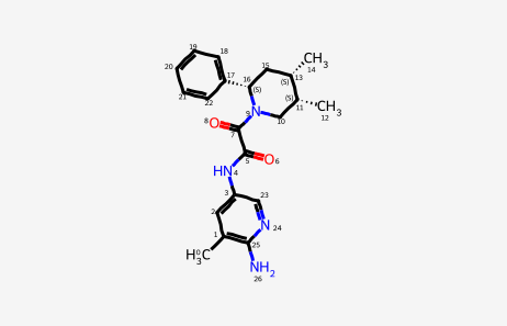 Cc1cc(NC(=O)C(=O)N2C[C@@H](C)[C@@H](C)C[C@H]2c2ccccc2)cnc1N